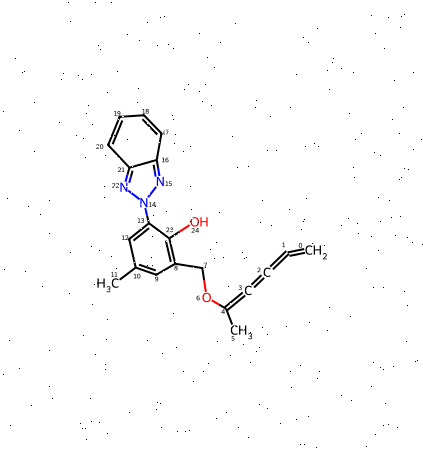 C=C=C=C=C(C)OCc1cc(C)cc(-n2nc3ccccc3n2)c1O